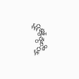 COC(=O)C1CN(c2ncc(C(=O)Nc3nc(-c4cccc(C(F)(F)F)c4F)cs3)cc2Cl)CC1c1ccc(C(F)(F)F)cc1